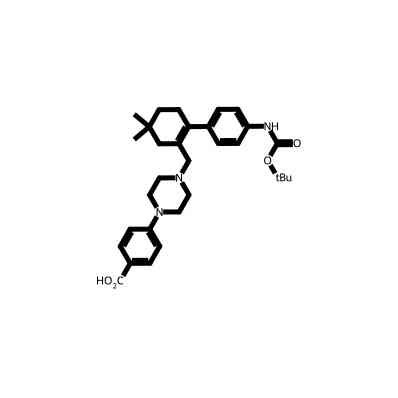 CC1(C)CCC(c2ccc(NC(=O)OC(C)(C)C)cc2)=C(CN2CCN(c3ccc(C(=O)O)cc3)CC2)C1